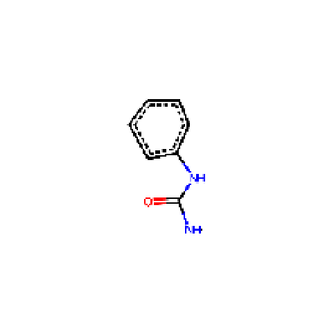 [NH]C(=O)Nc1ccccc1